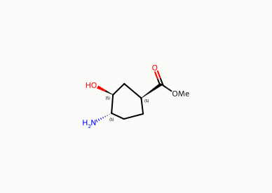 COC(=O)[C@H]1CC[C@H](N)[C@@H](O)C1